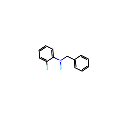 Fc1ccccc1N(F)Cc1ccccc1